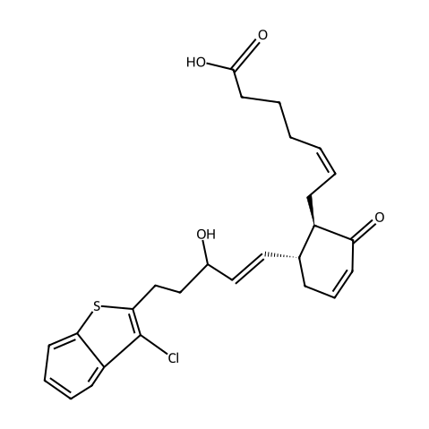 O=C(O)CCC/C=C\C[C@H]1C(=O)C=CC[C@@H]1/C=C/C(O)CCc1sc2ccccc2c1Cl